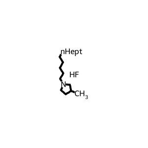 CCCCCCCCCCCCN1CCC(C)C1.F